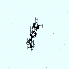 FC(F)(F)c1nc(-c2ccc(N3C[C@@H]4C[C@H]3CN4)nc2)no1